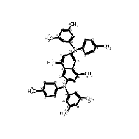 Cc1ccc(N(c2cc(C)cc(C)c2)c2cc(C)c3cc(N(c4ccc(C)cc4)c4cc(C)cc(C)c4)cc(C)c3c2)cc1